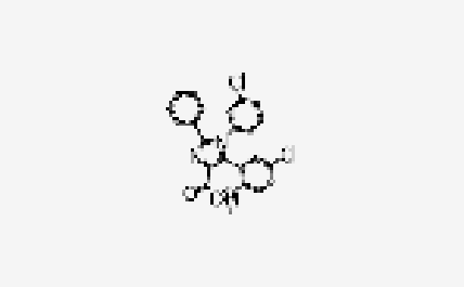 COc1ccc(Cl)cc1-c1c(C(=O)O)nc(-c2ccccc2)n1-c1cccc(Cl)c1